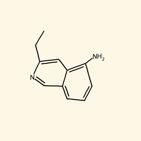 CCc1cc2c(N)cccc2cn1